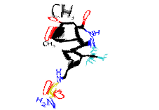 COc1cc2c(-c3ccc(CNS(N)(=O)=O)cc3C(F)(F)F)n[nH]c(=O)c2cc1OC